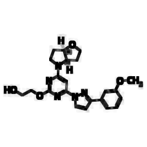 COc1cccc(-c2ccn(-c3cc(N4CC[C@H]5OCC[C@H]54)nc(OCCO)n3)n2)c1